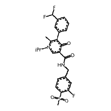 Cc1c(-c2cccc(C(F)F)c2)c(=O)c(C(=O)NCc2ccc(S(C)(=O)=O)c(F)c2)cn1C(C)C